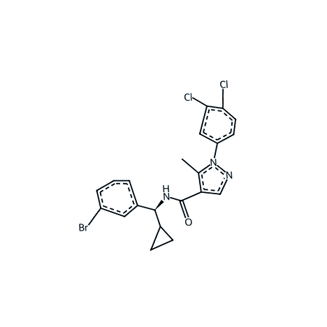 Cc1c(C(=O)N[C@H](c2cccc(Br)c2)C2CC2)cnn1-c1ccc(Cl)c(Cl)c1